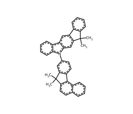 CC1(C)c2ccccc2-c2cc3c4ccccc4n(-c4ccc5c(c4)C(C)(C)c4ccc6ccccc6c4-5)c3cc21